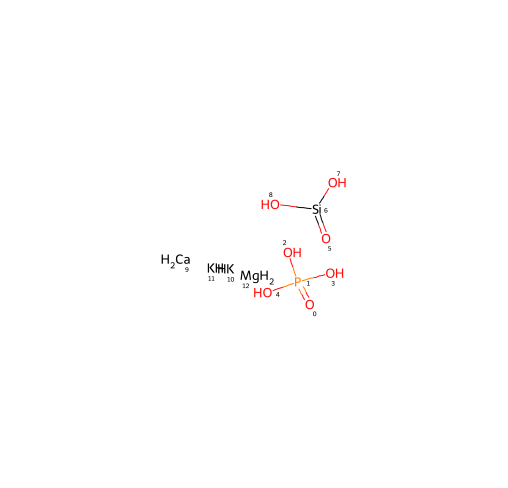 O=P(O)(O)O.O=[Si](O)O.[CaH2].[KH].[KH].[MgH2]